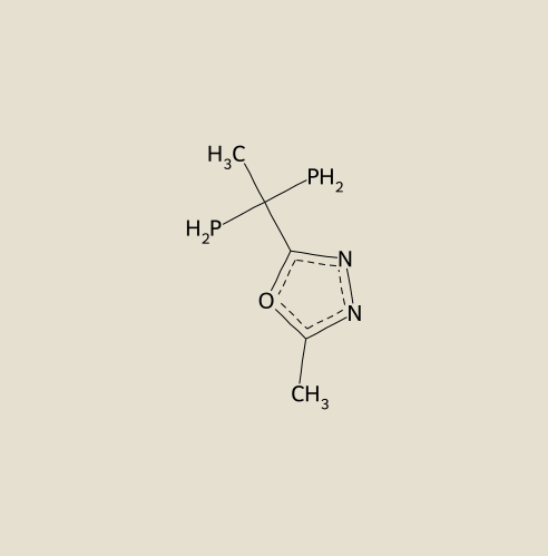 Cc1nnc(C(C)(P)P)o1